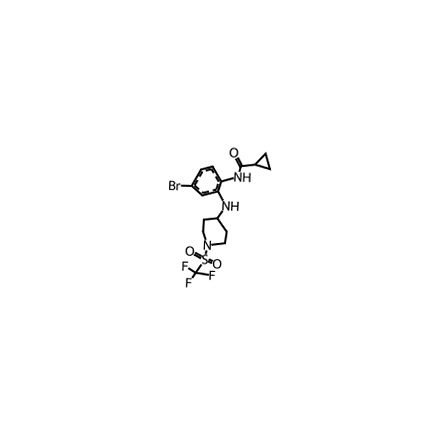 O=C(Nc1ccc(Br)cc1NC1CCN(S(=O)(=O)C(F)(F)F)CC1)C1CC1